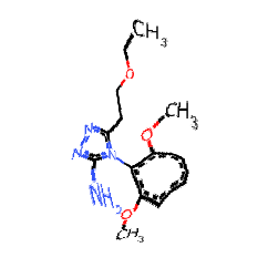 CCOCCc1nnc(N)n1-c1c(OC)cccc1OC